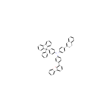 C1=C(c2ccc(N(c3ccc(-c4cccc5c4oc4ccccc45)cc3)c3ccc(C4(c5ccccc5)c5ccccc5-c5ccccc54)cc3)cc2)CCc2ccccc21